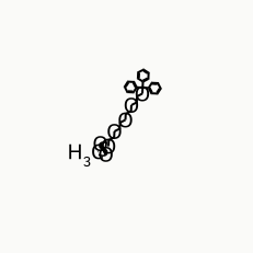 CS(=O)(=O)OCCOCCOCCOCCOC(c1ccccc1)(c1ccccc1)c1ccccc1